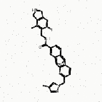 Cc1cnn(Cc2ccc3c(c2)c2oc3c3ccc(C(=O)NCc4c(F)cc5c(c4C)CNC5)cc32)c1